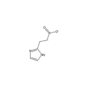 O=[N+]([O-])[CH]Cc1ncc[nH]1